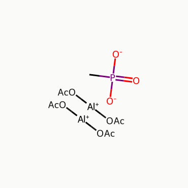 CC(=O)[O][Al+][O]C(C)=O.CC(=O)[O][Al+][O]C(C)=O.CP(=O)([O-])[O-]